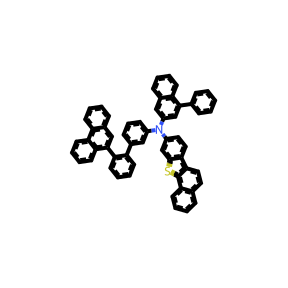 c1ccc(-c2cc(N(c3cccc(-c4ccccc4-c4cc5ccccc5c5ccccc45)c3)c3ccc4c(c3)sc3c5ccccc5ccc43)cc3ccccc23)cc1